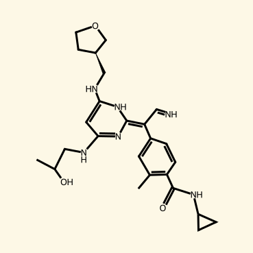 Cc1cc(/C(C=N)=C2\N=C(NCC(C)O)C=C(NC[C@H]3CCOC3)N2)ccc1C(=O)NC1CC1